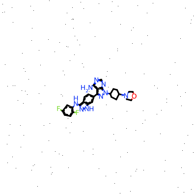 Nc1ncnc2c1c(-c1ccc3c(Nc4cc(F)ccc4F)n[nH]c3c1)nn2C1CCC(N2CCOCC2)CC1